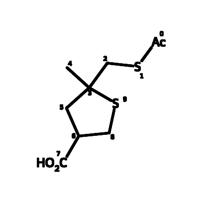 CC(=O)SCC1(C)CC(C(=O)O)CS1